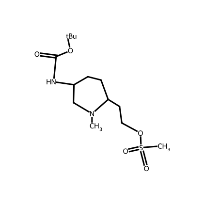 CN1CC(NC(=O)OC(C)(C)C)CCC1CCOS(C)(=O)=O